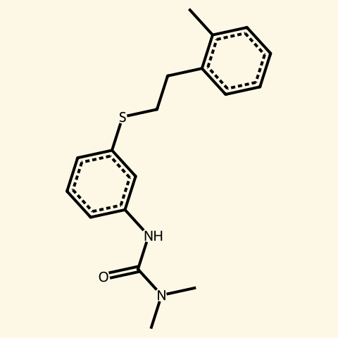 Cc1ccccc1CCSc1cccc(NC(=O)N(C)C)c1